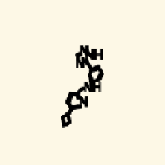 c1cc(NCc2ccc(C3CCC3)cn2)cc(-c2ncn[nH]2)c1